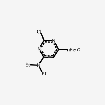 CCCCCc1cc(N(CC)CC)nc(Cl)n1